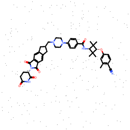 Cc1cc(O[C@H]2C(C)(C)[C@H](NC(=O)c3ccc(N4CCN(CC5Cc6cc7c(cc6C5)C(=O)N([C@H]5CCC(=O)NC5=O)C7=O)CC4)cc3)C2(C)C)ccc1C#N